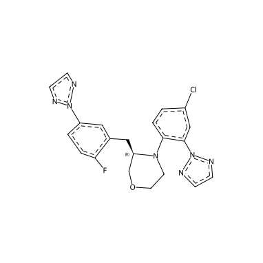 Fc1ccc(-n2nccn2)cc1C[C@@H]1COCCN1c1ccc(Cl)cc1-n1nccn1